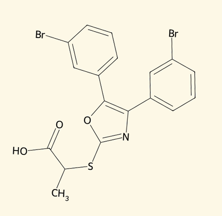 CC(Sc1nc(-c2cccc(Br)c2)c(-c2cccc(Br)c2)o1)C(=O)O